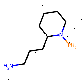 NCCCC1CCCCN1P